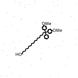 COc1ccc(C(CCCCCCCCCCCCCCCCO)(c2ccccc2)c2ccc(OC)cc2)cc1